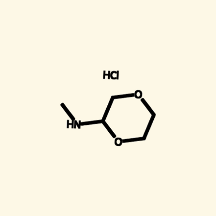 CNC1COCCO1.Cl